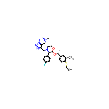 CC(C)CSc1ccc([C@@H](C)OC2OCCN(Cc3nn[nH]c3CN(C)C)C2c2ccc(F)cc2)cc1C(F)(F)F